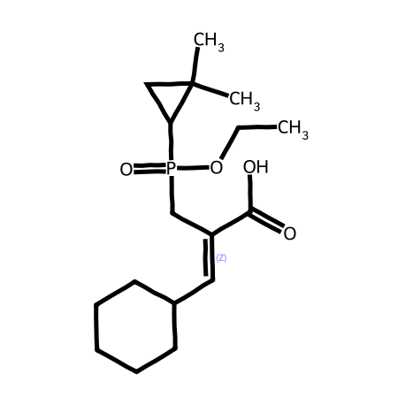 CCOP(=O)(C/C(=C\C1CCCCC1)C(=O)O)C1CC1(C)C